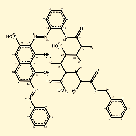 COC(=O)C(C(C)C(C(=O)OCc1ccccc1)C(C)C)C(C)C(C(=O)O)C(C)C(C)C(=O)Oc1ccccc1N=Nc1c(S(=O)(=O)O)cc2ccc(N=Nc3ccccc3)c(O)c2c1N